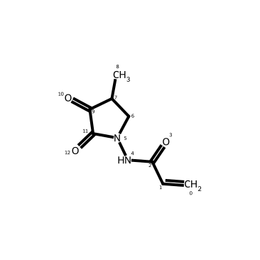 C=CC(=O)NN1CC(C)C(=O)C1=O